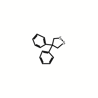 c1ccc(C2(c3ccccc3)CSSC2)cc1